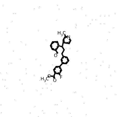 COC(=O)c1ccc(-c2cccc(CCC(c3ccnc(C)c3)c3ccccc3C=O)c2)cc1F